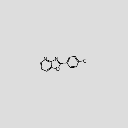 Clc1ccc(-c2nc3ncccc3o2)cc1